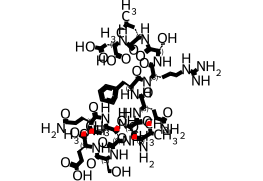 CC(C)C[C@H](NC(=O)[C@H](CCC(N)=O)NC(=O)[C@H](CCC(=O)O)NC(=O)[C@H](CO)NC(=O)[C@H](CO)NC(=O)[C@@H](N)C(C)C)C(=O)N[C@@H](C)C(=O)N[C@@H](CCC(N)=O)C(=O)N[C@@H](Cc1ccccc1)C(=O)N[C@@H](CCCNC(=N)N)C(=O)N[C@@H](CO)C(=O)N[C@@H](CC(C)C)C(=O)N[C@@H](CC(=O)O)C(=O)O